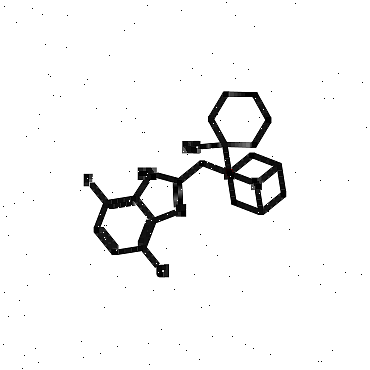 N#CC1(CN2C3CC2CN(Cc2nc4c(Cl)ccc(F)c4[nH]2)C3)CCCCC1